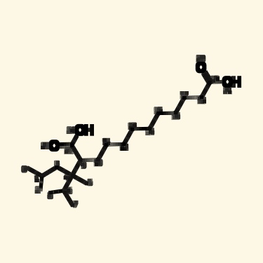 CC(C)CC(C)(C(C)C)C(CCCCCCCCCC(=O)O)C(=O)O